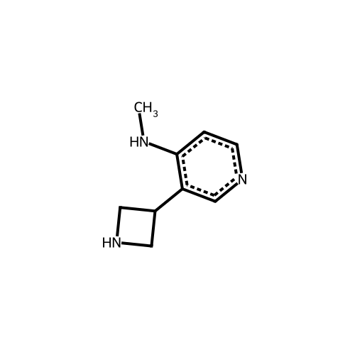 CNc1ccncc1C1CNC1